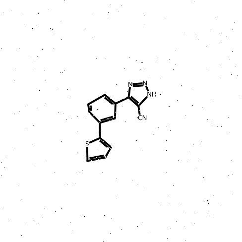 N#Cc1[nH]nnc1-c1cccc(-c2cccs2)c1